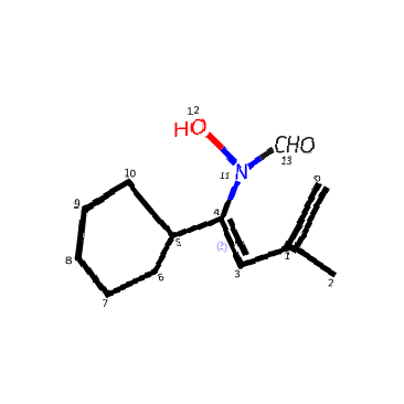 C=C(C)/C=C(/C1CCCCC1)N(O)C=O